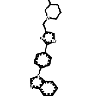 CC1CCCN(Cc2coc(-c3ccc(-n4cnc5ccccc54)cc3)n2)C1